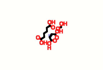 O=C(O)/C=C\C(=O)O.O=C(O)CCCCC(=O)O.O=CO